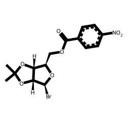 CC1(C)O[C@@H]2[C@H](O1)[C@@H](COC(=O)c1ccc([N+](=O)[O-])cc1)O[C@H]2Br